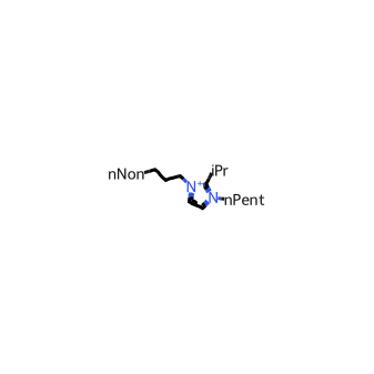 CCCCCCCCCCCC[n+]1ccn(CCCCC)c1C(C)C